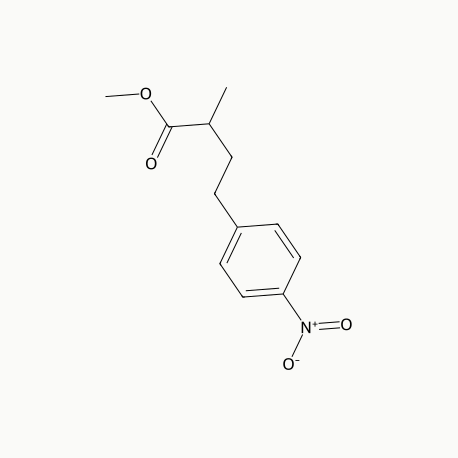 COC(=O)C(C)CCc1ccc([N+](=O)[O-])cc1